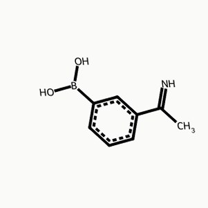 CC(=N)c1cccc(B(O)O)c1